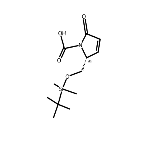 CC(C)(C)[Si](C)(C)OC[C@H]1C=CC(=O)N1C(=O)O